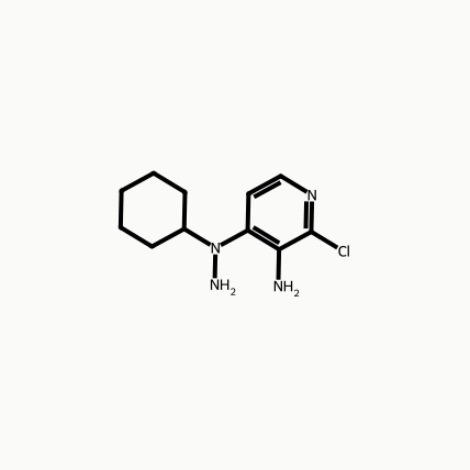 Nc1c(N(N)C2CCCCC2)ccnc1Cl